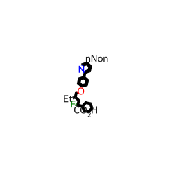 CCCCCCCCCc1ccc(-c2ccc(OCC(CC)C[C@@](F)(C(=O)O)C3CCCCC3)cc2)nc1